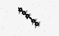 Cc1ccc(-c2ccc(-c3cc(C)c(C#Cc4cc(F)c(-c5cc(F)c(F)c(F)c5)c(F)c4)c(F)c3)c(F)c2)c(F)c1